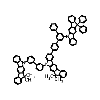 CC1(C)c2ccccc2-c2cc3c4ccccc4n(-c4cccc(-c5cccc(-n6c7ccc(-c8ccc(-c9cc(-c%10ccccc%10)cc(-n%10c%11ccccc%11c%11cc%12c(cc%11%10)-c%10ccccc%10C%12(c%10ccccc%10)c%10ccccc%10)c9)cc8)cc7c7cc8c(cc76)C(C)(C)c6ccccc6-8)c5)c4)c3cc21